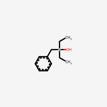 CC[Si](O)(CC)Cc1ccccc1